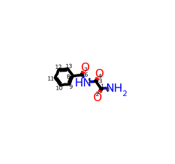 NC(=O)C(=O)NC(=O)c1ccccc1